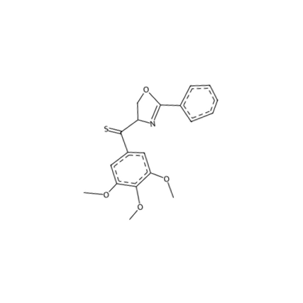 COc1cc(C(=S)C2COC(c3ccccc3)=N2)cc(OC)c1OC